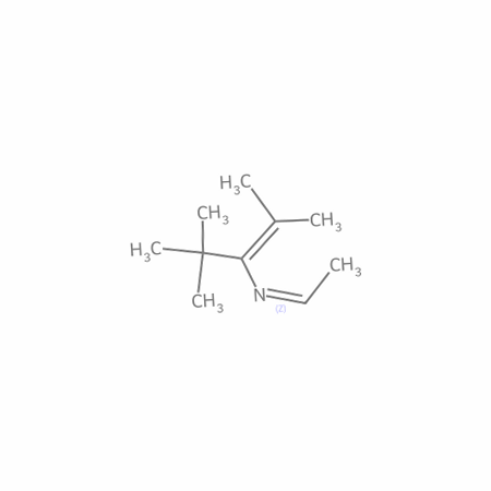 C/C=N\C(=C(C)C)C(C)(C)C